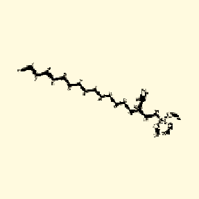 CCCCCCCCCCCCCCCC(C#N)CC[Si](OC)(OC)OC